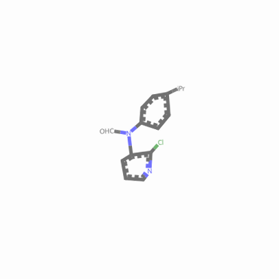 CC(C)c1ccc(N(C=O)c2cccnc2Cl)cc1